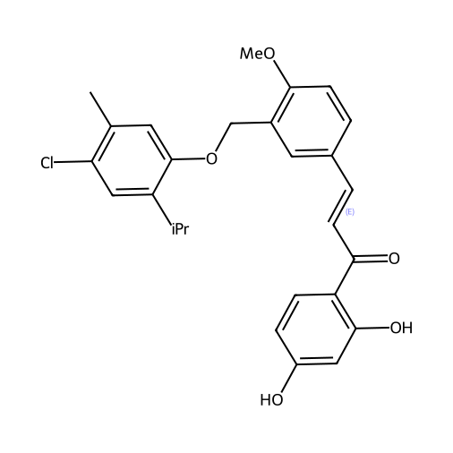 COc1ccc(/C=C/C(=O)c2ccc(O)cc2O)cc1COc1cc(C)c(Cl)cc1C(C)C